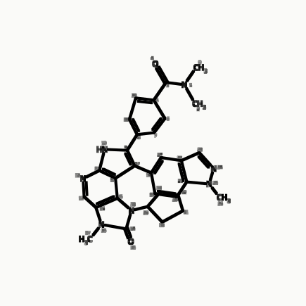 CN(C)C(=O)c1ccc(-c2[nH]c3ncc4c(c3c2-c2ccc3c(cnn3C)c2)n(C2CCCC2)c(=O)n4C)cc1